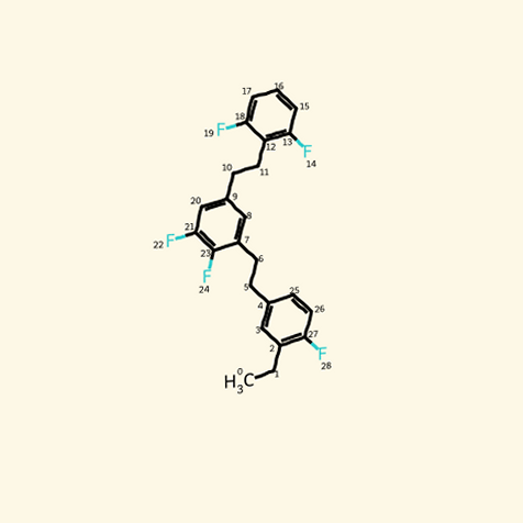 CCc1cc(CCc2cc(CCc3c(F)cccc3F)cc(F)c2F)ccc1F